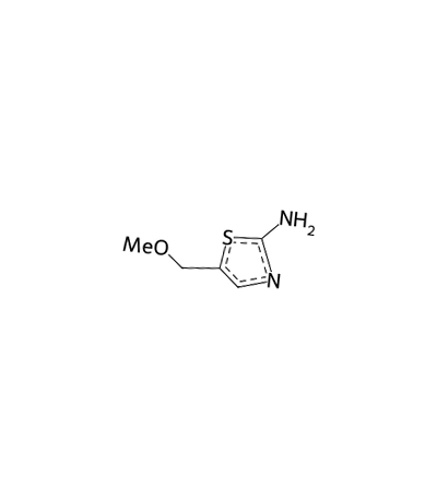 COCc1cnc(N)s1